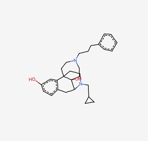 Oc1ccc2c(c1)C13CCN(CCCc4ccccc4)CCC1(O)C(C2)N(CC1CC1)CC3